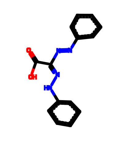 O=C(O)C(N=Nc1ccccc1)=NNc1ccccc1